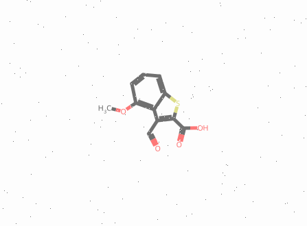 COc1cccc2sc(C(=O)O)c(C=O)c12